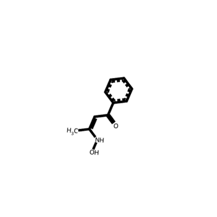 CC(=CC(=O)c1ccccc1)NO